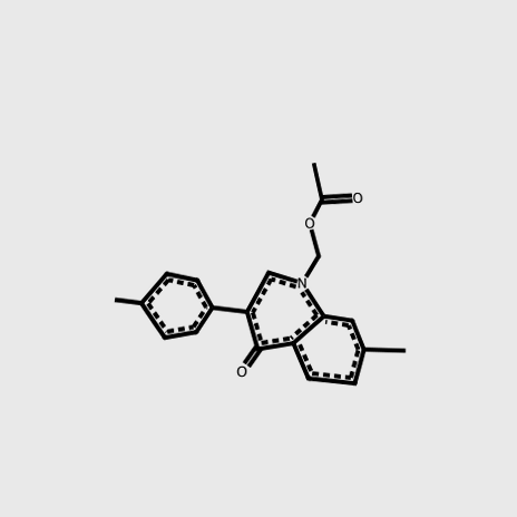 CC(=O)OCn1cc(-c2ccc(C)cc2)c(=O)c2ccc(C)cc21